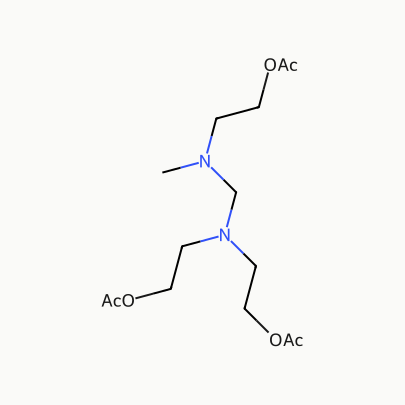 CC(=O)OCCN(C)CN(CCOC(C)=O)CCOC(C)=O